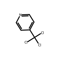 ClC(Cl)(Cl)c1ccncc1